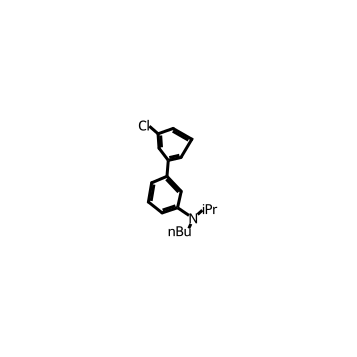 CCCCN(c1cccc(-c2cccc(Cl)c2)c1)C(C)C